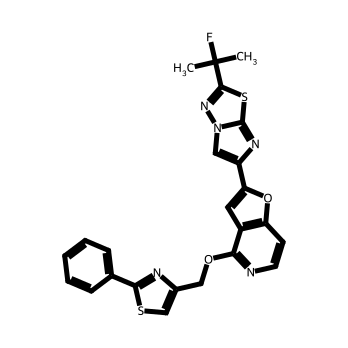 CC(C)(F)c1nn2cc(-c3cc4c(OCc5csc(-c6ccccc6)n5)nccc4o3)nc2s1